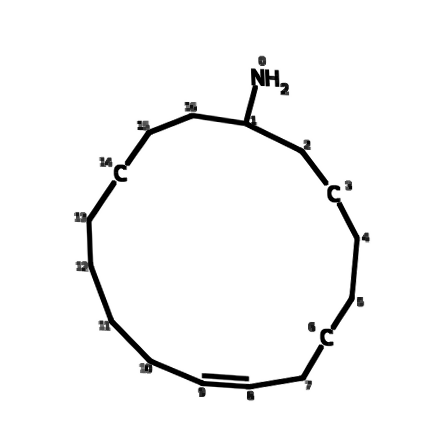 NC1CCCCCCC=CCCCCCCC1